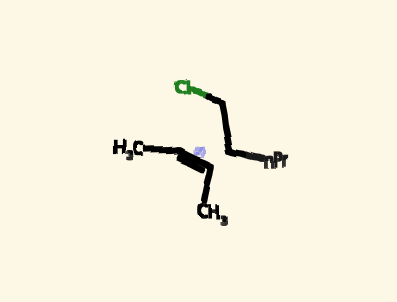 C/C=C\C.CCCCCCl